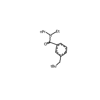 CCCN(CC)C(=O)c1cccc(CC(C)(C)C)c1